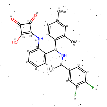 COc1ccc(C(NC(C)c2ccc(F)c(F)c2)c2ccccc2Nc2c(O)c(=O)c2=O)c(OC)c1